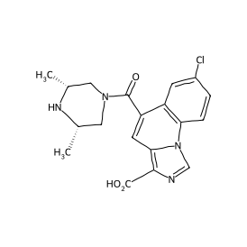 C[C@@H]1CN(C(=O)c2cc3c(C(=O)O)ncn3c3ccc(Cl)cc23)C[C@H](C)N1